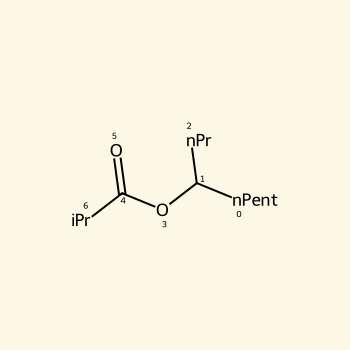 CCCCCC(CCC)OC(=O)C(C)C